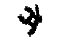 CCCCCCCCCCOc1c(F)cccc1C1=C2C=CC(=N2)C(c2ccc(Oc3ccc(N(C)C)cc3)cc2)=C2C=CC(=N2)C(c2ccc(Oc3ccc(N(C)C)cc3)cc2)=C2C=CC(=N2)C(c2ccc(Oc3ccc(N(C)C)cc3)cc2)=C2C=CC1=N2